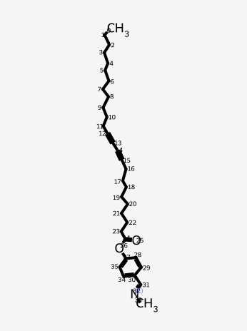 CCCCCCCCCCCCC#CC#CCCCCCCCCC(=O)Oc1ccc(/C=N/C)cc1